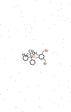 CC(C)(C)[Si](OCc1cc(CBr)cc(CBr)c1)(c1ccccc1)c1ccccc1